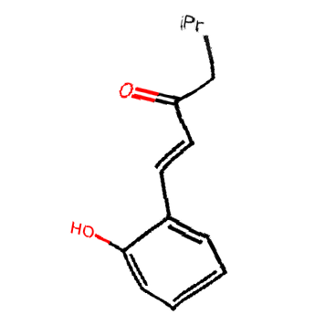 CC(C)CC(=O)/C=C/c1ccccc1O